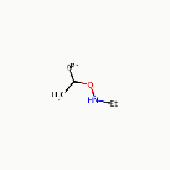 [CH2]CNOC(C)CCC